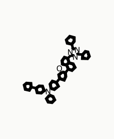 c1ccc(-c2ccc(N(c3ccccc3)c3ccc(-c4ccc5c(c4)Oc4ccc(-c6nc(-c7ccccc7)nc(-c7ccccc7)n6)c6cccc-5c46)cc3)cc2)cc1